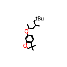 CC(CC(C)Oc1ccc2c(c1)OCC2(C)C)CC(C)(C)C